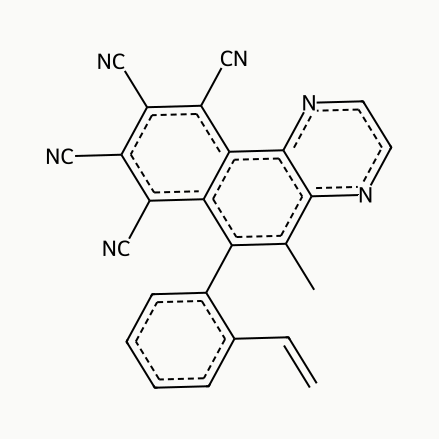 C=Cc1ccccc1-c1c(C)c2nccnc2c2c(C#N)c(C#N)c(C#N)c(C#N)c12